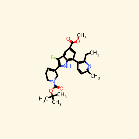 CCc1nc(C)ccc1-c1cc(C(=O)OC)cc2c(F)c(C3=CCCN(C(=O)OC(C)(C)C)C3)[nH]c12